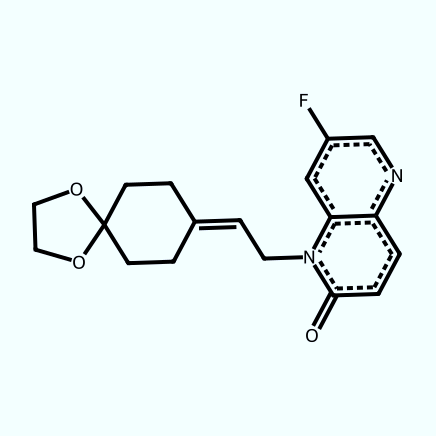 O=c1ccc2ncc(F)cc2n1CC=C1CCC2(CC1)OCCO2